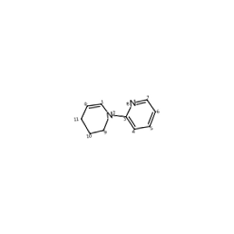 C1=CN(c2ccccn2)CCC1